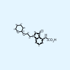 O=C(O)Nc1cccc2c1c(Cl)cn2CCOC1CCCCO1